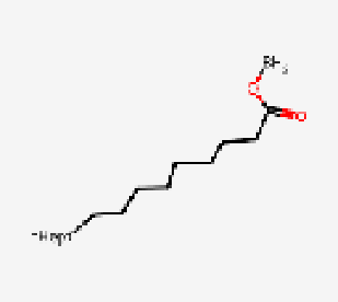 BOC(=O)CCCCCCCCCCCCCCC